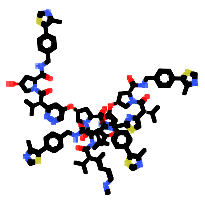 C=N/C=C\C=C(/C)[C@H](C(=O)N1C[C@H](OCc2nc([C@H](C(=O)N3C[C@H](Oc4cnc([C@H](C(=O)N5C[C@H](Oc6cnnc([C@H](C(=O)N7C[C@H](O)C[C@H]7C(=O)NCc7ccc(-c8scnc8C)cc7)C(C)C)c6)C[C@H]5C(=O)NCc5ccc(-c6scnc6C)cc5)C(C)C)o4)C[C@H]3C(=O)NCc3ccc(-c4scnc4C)cc3)C(C)C)cs2)C[C@H]1C(=O)NCc1ccc(-c2scnc2C)cc1)C(C)C